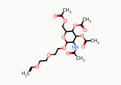 C=COCCOCCOC1OC(COC(C)=O)C(OC(C)=O)C(OC(C)=O)C1NC(C)=O